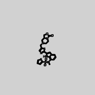 CN(c1cccc2cc(-c3ncc(CN4CCN5C(=O)OCC5C4)s3)[nH]c12)S(=O)(=O)c1cccs1